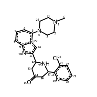 CN1CCN(c2cccc3nc(C4CC(=O)CC(c5ncccc5Cl)N4)cn23)CC1